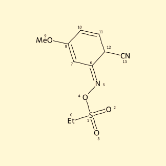 CCS(=O)(=O)ON=C1C=C(OC)C=CC1C#N